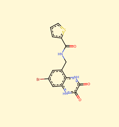 O=C(NCc1cc(Br)cc2[nH]c(=O)c(=O)[nH]c12)c1cccs1